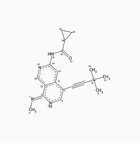 CN=c1[nH]cc(C#C[Si](C)(C)C)c2cc(NC(=O)C3CC3)ncc12